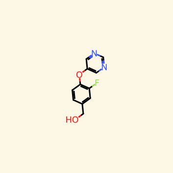 OCc1ccc(Oc2cncnc2)c(F)c1